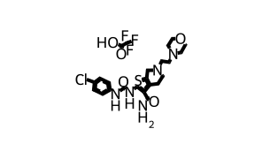 NC(=O)c1c(NC(=O)Nc2ccc(Cl)cc2)sc2c1CCN(CCN1CCOCC1)C2.O=C(O)C(F)(F)F